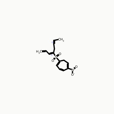 C=C/C=C(\C/C=C\C)S(=O)(=O)C1=CC=CC([N+](=O)[O-])=CC1